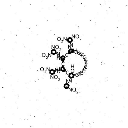 O=[N+]([O-])c1cccc(N=Nc2cc3c(O)c(c2)Cc2cc(N=Nc4cc([N+](=O)[O-])cc([N+](=O)[O-])c4)cc(c2O)Cc2cc(N=Nc4cc([N+](=O)[O-])cc([N+](=O)[O-])c4)cc(c2O)Cc2cc(N=Nc4cc([N+](=O)[O-])cc([N+](=O)[O-])c4)cc(c2O)CCCCCCCCCCCCCC3)c1